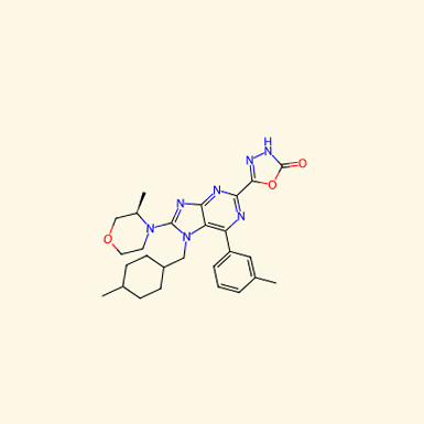 Cc1cccc(-c2nc(-c3n[nH]c(=O)o3)nc3nc(N4CCOC[C@H]4C)n(CC4CCC(C)CC4)c23)c1